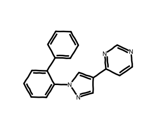 c1ccc(-c2ccccc2-n2cc(-c3ccncn3)cn2)cc1